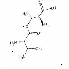 CC(C)[C@H](N)C(=O)O[C@H](C)[C@H](N)C(=O)O